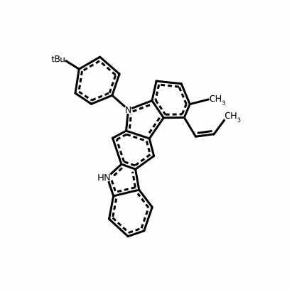 C/C=C\c1c(C)ccc2c1c1cc3c(cc1n2-c1ccc(C(C)(C)C)cc1)[nH]c1ccccc13